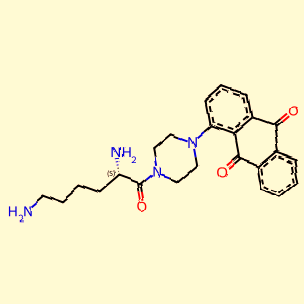 NCCCC[C@H](N)C(=O)N1CCN(c2cccc3c2C(=O)c2ccccc2C3=O)CC1